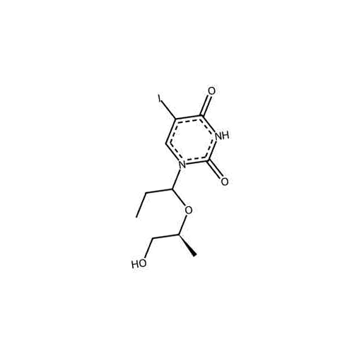 CCC(O[C@@H](C)CO)n1cc(I)c(=O)[nH]c1=O